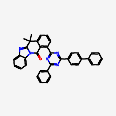 CC1(C)c2cccc(-c3nc(-c4ccccc4)nc(-c4ccc(-c5ccccc5)cc4)n3)c2C(=O)n2c1nc1ccccc12